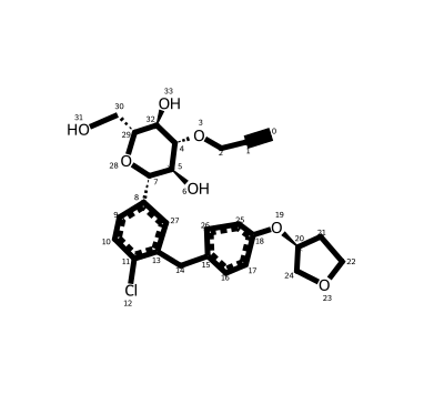 C#CCO[C@@H]1[C@@H](O)[C@H](c2ccc(Cl)c(Cc3ccc(O[C@H]4CCOC4)cc3)c2)O[C@H](CO)[C@H]1O